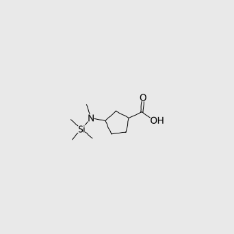 CN(C1CCC(C(=O)O)C1)[Si](C)(C)C